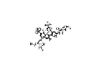 CCNC(=O)Nc1cc(-c2nc(C(F)(F)F)cs2)c(-c2cc3c(=O)c(C(=O)O)cn([C@H](CO)CC(C)C)c3cc2F)cn1